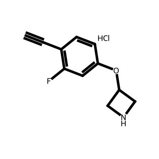 C#Cc1ccc(OC2CNC2)cc1F.Cl